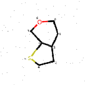 C1CC2CCSC2CO1